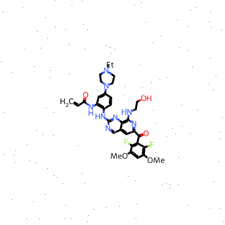 C=CC(=O)Nc1cc(N2CCN(CC)CC2)ccc1Nc1ncc2cc(C(=O)c3c(F)c(OC)cc(OC)c3F)nc(NCCO)c2n1